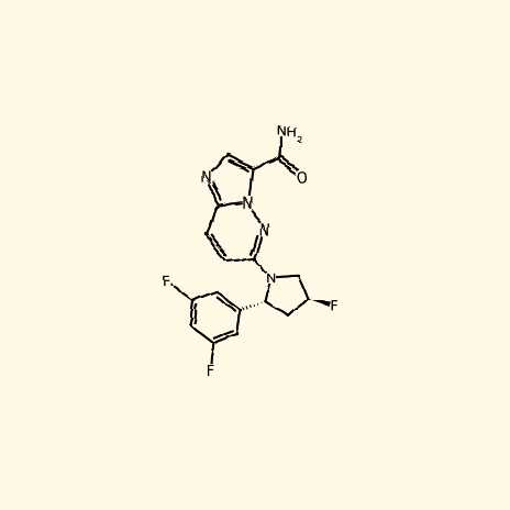 NC(=O)c1cnc2ccc(N3C[C@@H](F)C[C@@H]3c3cc(F)cc(F)c3)nn12